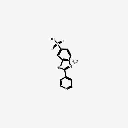 O.O=S(=O)(O)c1ccc2nc(-c3ccncc3)[nH]c2c1